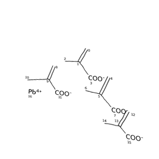 C=C(C)C(=O)[O-].C=C(C)C(=O)[O-].C=C(C)C(=O)[O-].C=C(C)C(=O)[O-].[Pb+4]